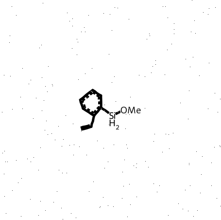 C=Cc1ccccc1[SiH2]OC